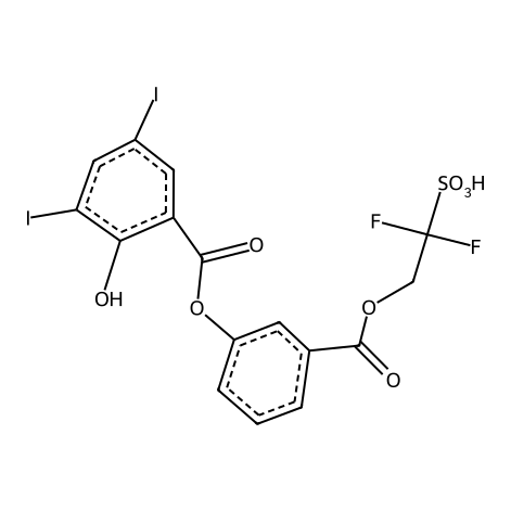 O=C(OCC(F)(F)S(=O)(=O)O)c1cccc(OC(=O)c2cc(I)cc(I)c2O)c1